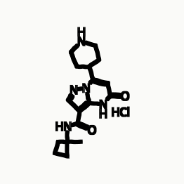 CC1(NC(=O)c2cnn3c(C4CCNCC4)cc(=O)[nH]c23)CCC1.Cl